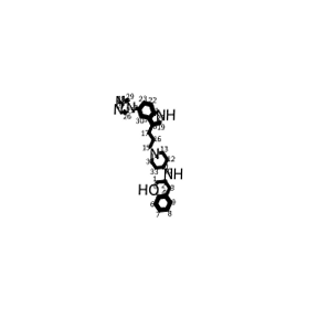 OCC(Cc1ccccc1)NC1CCN(CCCc2c[nH]c3ccc(-n4cnnc4)cc23)CC1